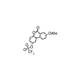 COc1ccc2c(c1)c(=O)oc1ccc(OS(=O)(=O)C(F)(F)F)cc12